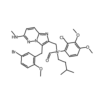 CNc1ccc2nc(C[N+](C=O)(CCC(C)C)c3ccc(OC)c(OC)c3Cl)c(Cc3cc(Br)ccc3OC)n2n1